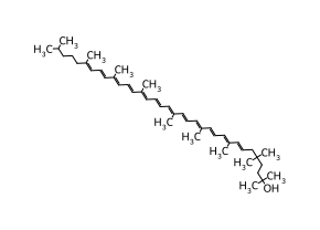 CC(/C=C/C=C(C)/C=C/C=C(C)/C=C/CC(C)(C)CCC(C)(C)O)=C\C=C\C=C(C)\C=C\C=C(C)\C=C\C=C(/C)CCCC(C)C